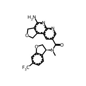 CN(C(=O)c1cnc2nc(N)c3c(c2c1)COC3)[C@@H]1COc2cc(C(F)(F)F)ccc21